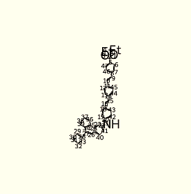 CCOC(OCC)c1ccc(/C=C/c2ccc(/C=C/c3ccc(Nc4ccc(C=C(c5ccccc5)c5ccccc5)cc4)cc3)cc2)cc1